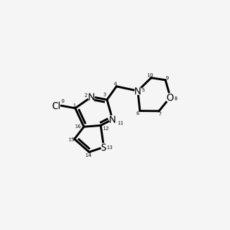 Clc1nc(CN2CCOCC2)nc2sccc12